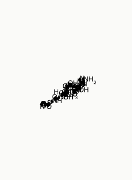 CC(C)(COP(=O)(O)OP(=O)(O)OCC1OC(n2cnc3c(N)ncnc32)C(O)C1OP(=O)(O)O)C(O)C(=O)NCCC(=O)NCCSC(=O)c1cccnc1